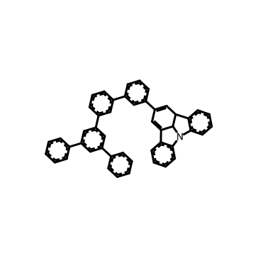 C1=C(c2cccc(-c3cccc(-c4cc(-c5ccccc5)cc(-c5ccccc5)c4)c3)c2)C=C2c3ccccc3N3c4ccccc4C1C23